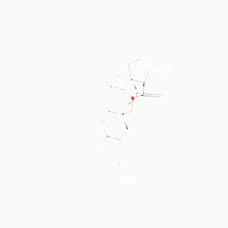 O=C(O)CCC1C[C@]23COC(=O)[C@]45CCC2[C@@H](CCC3=CC1=O)[C@@H]4CC[C@@H]5O